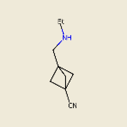 CCNCC12CC(C#N)(C1)C2